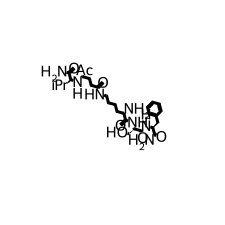 CC(=O)C(CCC(=O)NCCCCC(N)C(=O)N[C@@H](CO)C(=O)N[C@@H](Cc1ccccc1)C(N)=O)N[C@H](C(N)=O)C(C)C